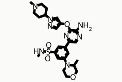 CNS(=O)(=O)c1cc(-c2cnc(N)c(Oc3cnn(C4CCN(C)CC4)c3)n2)cc(N2CCOCC2C)c1